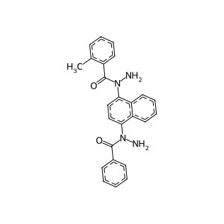 Cc1ccccc1C(=O)N(N)c1ccc(N(N)C(=O)c2ccccc2)c2ccccc12